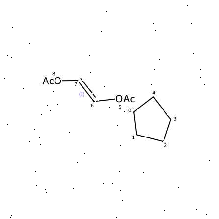 C1CCCC1.CC(=O)O/C=C/OC(C)=O